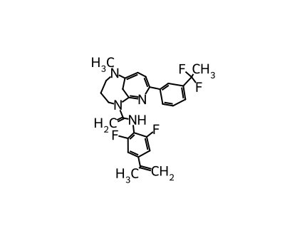 C=C(C)c1cc(F)c(NC(=C)N2CCCN(C)C3=CC=C(c4cccc(C(C)(F)F)c4)N=C2C3)c(F)c1